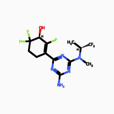 C[C@@H](N(C)c1nc(N)nc(C2=C(F)[C@H](O)C(F)(F)CC2)n1)C(F)(F)F